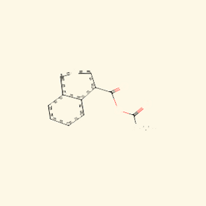 COC(=O)OC(=O)c1cccc2ccccc12